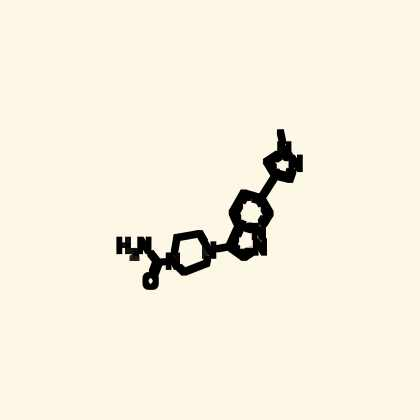 Cn1cc(-c2ccc3c(N4CCN(C(N)=O)CC4)cnn3c2)cn1